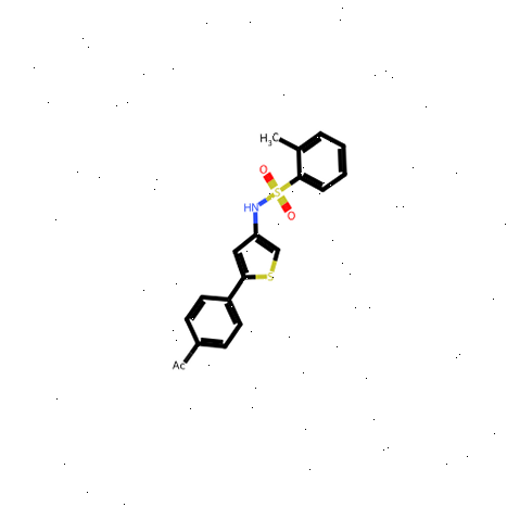 CC(=O)c1ccc(-c2cc(NS(=O)(=O)c3ccccc3C)cs2)cc1